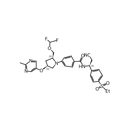 CCS(=O)(=O)c1ccc([C@H](CC#N)NC(=O)c2ccc(N3C[C@@H](Oc4cnc(C)nc4)C[C@H]3COC(F)F)cc2)cc1